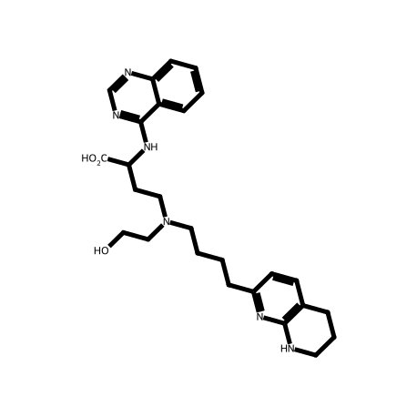 O=C(O)C(CCN(CCO)CCCCc1ccc2c(n1)NCCC2)Nc1ncnc2ccccc12